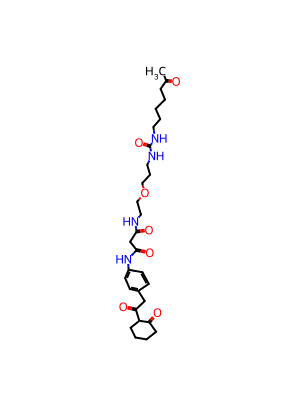 CC(=O)CCCCCNC(=O)NCCCOCCNC(=O)CC(=O)Nc1ccc(CC(=O)C2CCCCC2=O)cc1